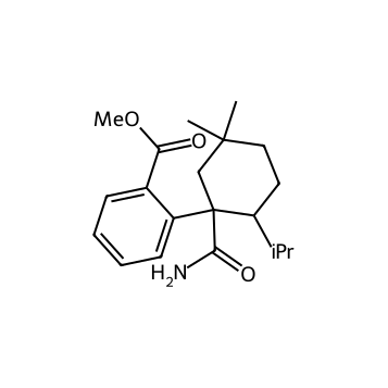 COC(=O)c1ccccc1C1(C(N)=O)CC(C)(C)CCC1C(C)C